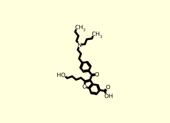 CCCCN(CCCC)CCCc1ccc(C(=O)c2c(CCCCO)oc3ccc(C(=O)O)cc23)cc1